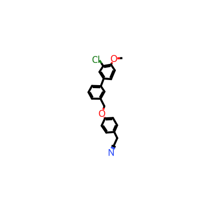 COc1ccc(-c2cccc(COc3ccc(CC#N)cc3)c2)cc1Cl